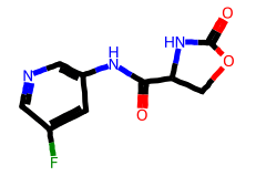 O=C1NC(C(=O)Nc2cncc(F)c2)CO1